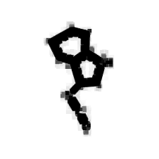 O=C=Nc1c[nH]c2ccccc12